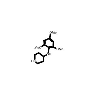 COc1cc(OC)c(NC2CCNCC2)c(OC)c1